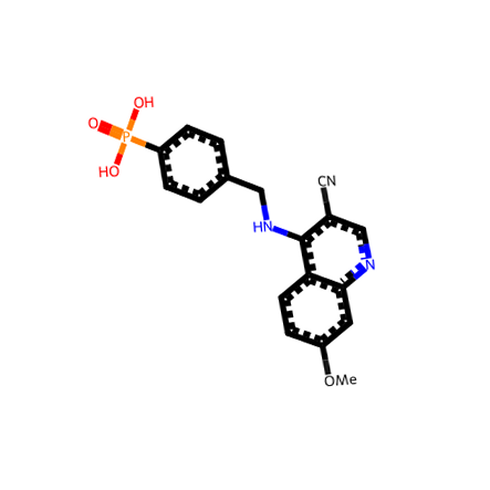 COc1ccc2c(NCc3ccc(P(=O)(O)O)cc3)c(C#N)cnc2c1